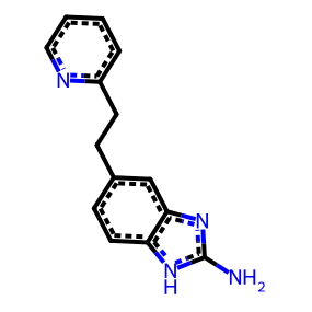 Nc1nc2cc(CCc3ccccn3)ccc2[nH]1